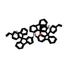 C=Cc1ccc(C2(c3ccccc3F)c3ccccc3-c3ccc(N(c4ccc5c(c4)C(c4ccc(C=C)cc4)(c4ccccc4F)c4ccccc4-5)c4cccc5c4C(C)(C)c4ccccc4-5)cc32)cc1